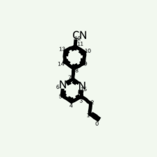 C=CCc1ccnc(-c2ccc(C#N)cc2)n1